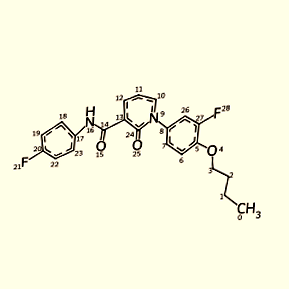 CCCCOc1ccc(-n2cccc(C(=O)Nc3ccc(F)cc3)c2=O)cc1F